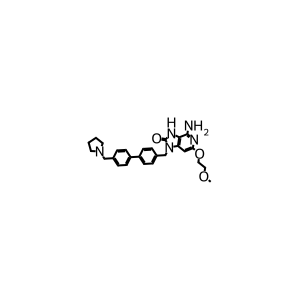 COCCOc1cc2c([nH]c(=O)n2Cc2ccc(-c3ccc(CN4CCCC4)cc3)cc2)c(N)n1